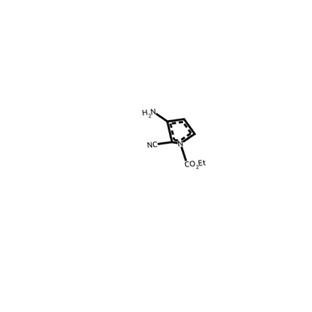 CCOC(=O)n1ccc(N)c1C#N